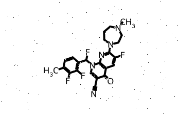 Cc1ccc(C(F)n2cc(C#N)c(=O)c3cc(F)c(N4CCCN(C)CC4)nc32)c(F)c1F